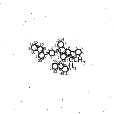 CC1(C)c2ccccc2-c2cc(-c3ccccc3N(c3ccc(-c4cccc5c4ccc4ccccc45)cc3)c3cccc(-n4c5ccccc5c5ccccc54)c3)ccc21